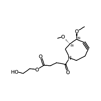 CO[C@H]1C#CCCN(C(=O)CCC(=O)OCCO)C[C@@H]1OC